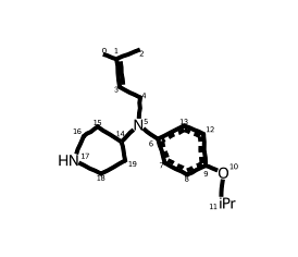 CC(C)=CCN(c1ccc(OC(C)C)cc1)C1CCNCC1